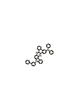 c1ccc(-c2cccc(-n3c4ccccc4c4c5nc6c7ccc(N(c8ccccc8)c8ccccc8)cc7c7ccccc7c6nc5ccc43)c2)cc1